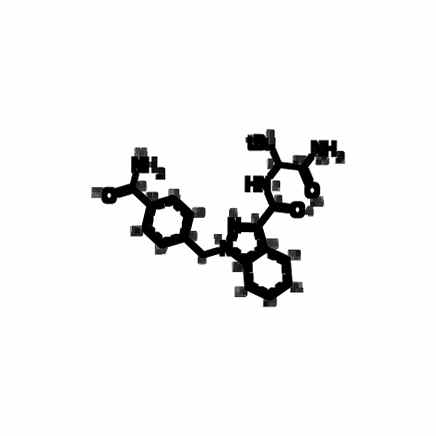 CC(C)(C)C(NC(=O)c1nn(Cc2ccc(C(N)=O)cc2)c2ccccc12)C(N)=O